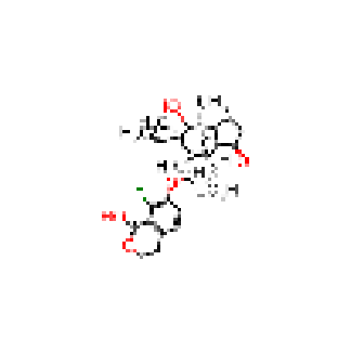 C=C[C@]1(C)C[C@@H](C(Oc2ccc3c(c2F)B(O)OCC3)C(=O)O)[C@@]2(C)[C@H](C)CC[C@]3(CCC(=O)[C@H]32)[C@@H](C)[C@@H]1O